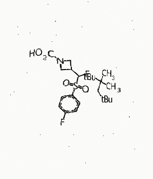 CC(C)(C)CC(C)(C)C(C)(C)C.O=C(O)N1CC(C(F)S(=O)(=O)c2ccc(F)cc2)C1